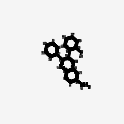 Nc1ccc2nc(-c3ccccc3)c(-c3ccccc3F)cc2c1